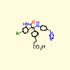 O=C(O)CCc1ccc(/C(Nc2ccc(Cn3ccnc3)cc2)=C2/C(=O)Nc3cc(Br)ccc32)cc1